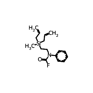 C=CC[Si](C)(CC=C)CCN(C(=O)F)c1ccccc1